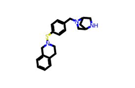 c1ccc2c(c1)CCN(Sc1ccc(CN3CC4CC3CN4)cc1)C2